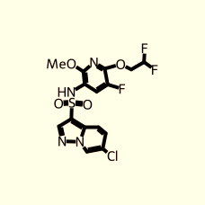 COc1nc(OCC(F)F)c(F)cc1NS(=O)(=O)c1cnn2cc(Cl)ccc12